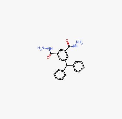 NNC(=O)c1cc(C(=O)NN)cc(C(c2ccccc2)c2ccccc2)c1